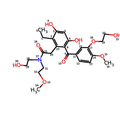 CCc1c(O)cc(O)c(C(=O)c2ccc(OC)c(OCCO)c2)c1CC(=O)N(CCO)CCOC